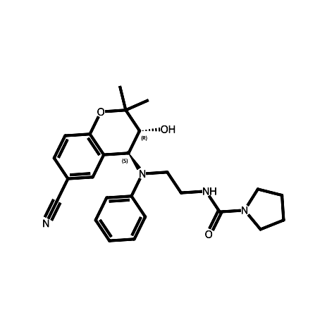 CC1(C)Oc2ccc(C#N)cc2[C@H](N(CCNC(=O)N2CCCC2)c2ccccc2)[C@H]1O